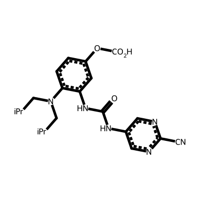 CC(C)CN(CC(C)C)c1ccc(OC(=O)O)cc1NC(=O)Nc1cnc(C#N)nc1